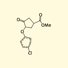 COC(=O)C1CC(=O)C(Oc2ccc(Cl)cc2)C1